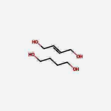 OCC=CCO.OCCCCO